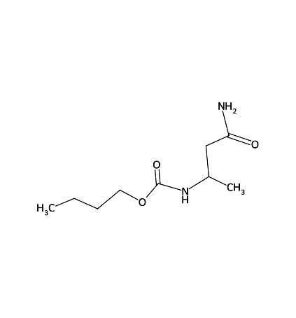 CCCCOC(=O)NC(C)CC(N)=O